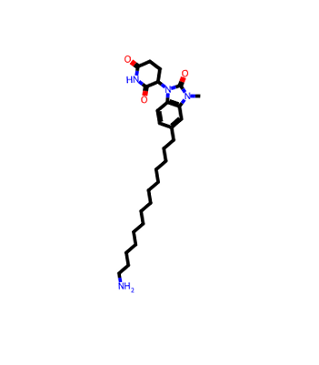 Cn1c(=O)n(C2CCC(=O)NC2=O)c2ccc(CCCCCCCCCCCCCCN)cc21